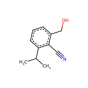 CC(C)c1cccc(CO)c1C#N